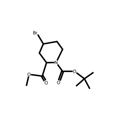 COC(=O)C1CC(Br)CCN1C(=O)OC(C)(C)C